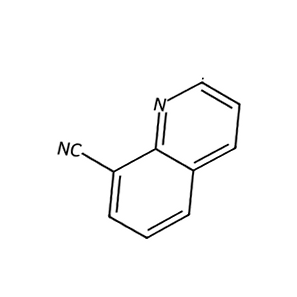 N#Cc1cccc2cc[c]nc12